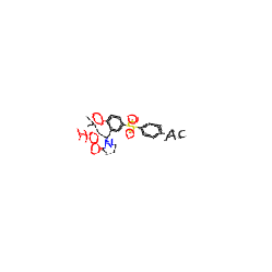 CC(=O)c1ccc(S(=O)(=O)c2ccc3c(c2)C(N2CCCC2=O)C(O)C(C)(C)O3)cc1